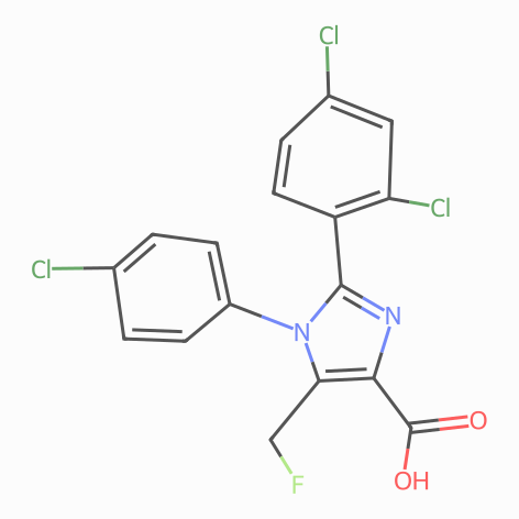 O=C(O)c1nc(-c2ccc(Cl)cc2Cl)n(-c2ccc(Cl)cc2)c1CF